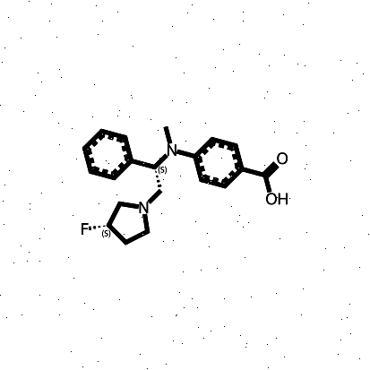 CN(c1ccc(C(=O)O)cc1)[C@H](CN1CC[C@H](F)C1)c1ccccc1